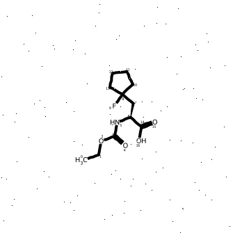 CCOC(=O)N[C@@H](CC1(F)CCCC1)C(=O)O